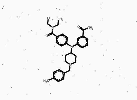 CCN(CC)C(=O)c1ccc(N(c2cccc(C(N)=O)c2)C2CCN(Cc3ccc(C)cc3)CC2)cc1